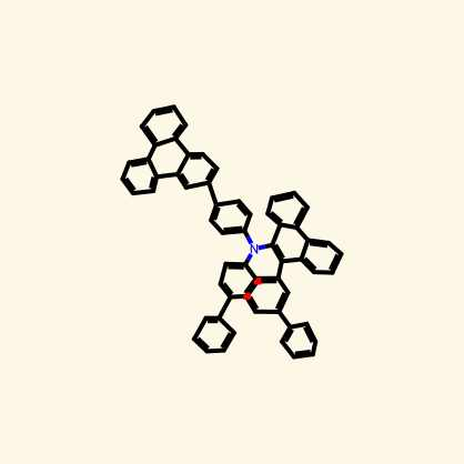 c1ccc(-c2ccc(N(c3ccc(-c4ccc5c6ccccc6c6ccccc6c5c4)cc3)c3c(-c4cccc(-c5ccccc5)c4)c4ccccc4c4ccccc34)cc2)cc1